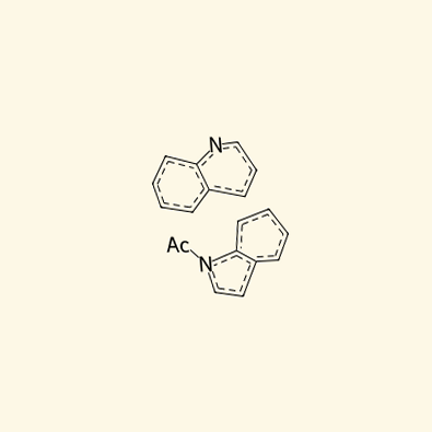 CC(=O)n1ccc2ccccc21.c1ccc2ncccc2c1